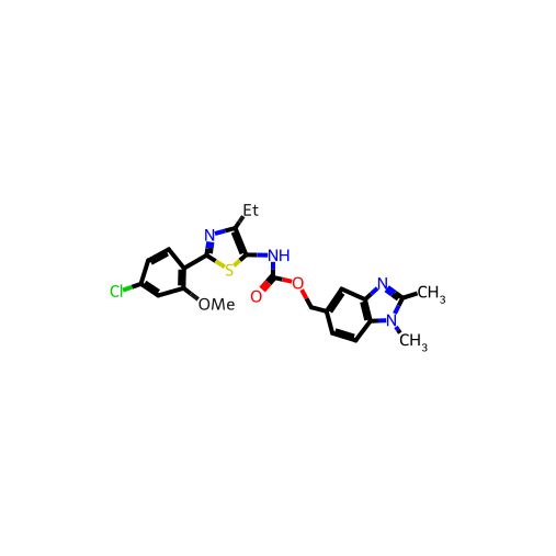 CCc1nc(-c2ccc(Cl)cc2OC)sc1NC(=O)OCc1ccc2c(c1)nc(C)n2C